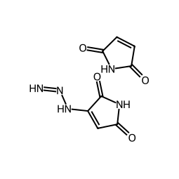 N=NNC1=CC(=O)NC1=O.O=C1C=CC(=O)N1